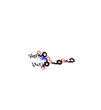 COC(=O)CC1CCCCC1NC(=O)c1cc(C(=O)OC)ccc1OCCCc1ccc(OCCCC2CCCCC2)cc1